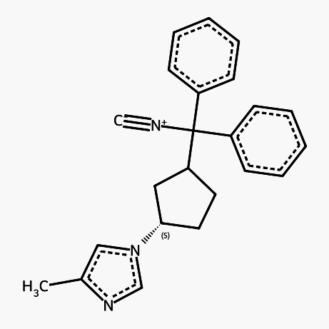 [C-]#[N+]C(c1ccccc1)(c1ccccc1)C1CC[C@H](n2cnc(C)c2)C1